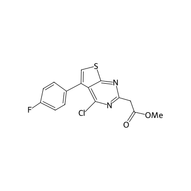 COC(=O)Cc1nc(Cl)c2c(-c3ccc(F)cc3)csc2n1